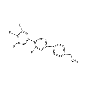 CCc1ccc(-c2ccc(-c3cc(F)c(F)c(F)c3)c(F)c2)cc1